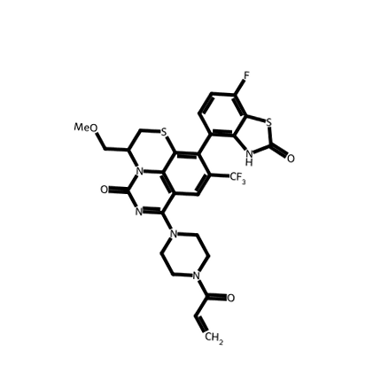 C=CC(=O)N1CCN(c2nc(=O)n3c4c(c(-c5ccc(F)c6sc(=O)[nH]c56)c(C(F)(F)F)cc24)SCC3COC)CC1